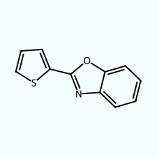 c1csc(-c2nc3ccccc3o2)c1